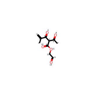 C=C(C)C(=O)C(C(C)=O)C(=O)OCC=O